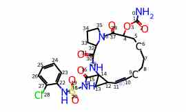 NC(=O)OC1CCCCC/C=C/C2CC2(C(=O)NS(=O)(=O)Nc2ccccc2Cl)NC(=O)C2CCCN2C1=O